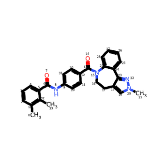 Cc1cccc(C(=O)Nc2ccc(C(=O)N3CCc4cn(C)nc4-c4ccccc43)cc2)c1C